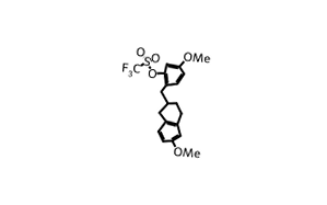 COc1ccc2c(c1)CCC(Cc1ccc(OC)cc1OS(=O)(=O)C(F)(F)F)C2